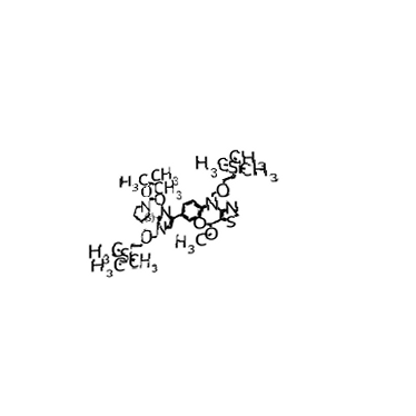 COC(=O)c1scnc1N(COCC[Si](C)(C)C)c1ccc(-c2cn(COCC[Si](C)(C)C)c([C@@H]3CCCN3C(=O)OC(C)(C)C)n2)cc1